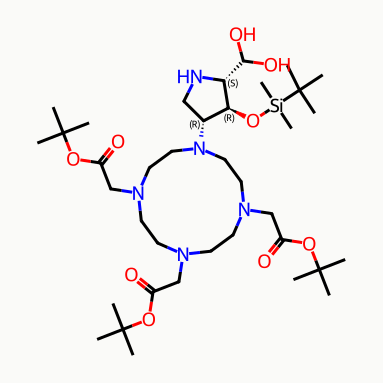 CC(C)(C)OC(=O)CN1CCN(CC(=O)OC(C)(C)C)CCN([C@@H]2CN[C@H](C(O)O)[C@H]2O[Si](C)(C)C(C)(C)C)CCN(CC(=O)OC(C)(C)C)CC1